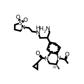 CC(=O)N1c2ccc(C(CN)CNCCN3CCCS3(=O)=O)cc2N(C(=O)C2CC2)C[C@@H]1C